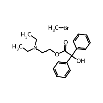 CBr.CCN(CC)CCOC(=O)C(O)(c1ccccc1)c1ccccc1